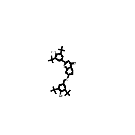 CC(C)(C)c1cc(COc2ccc3c(=O)cc(-c4cc(C(C)(C)C)c(O)c(C(C)(C)C)c4)oc3c2)cc(C(C)(C)C)c1O